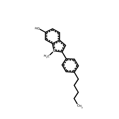 CCCCCc1ccc(-c2cc3ccc(O)cc3n2C)cc1